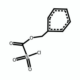 O=C(OCc1ccccc1)S(=O)(=O)Cl